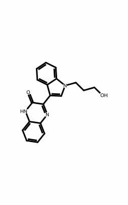 O=c1[nH]c2ccccc2nc1-c1cn(CCCO)c2ccccc12